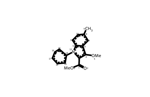 COC(=O)c1c(OC)c2cc(C)ccc2n1-c1ccccc1